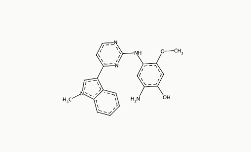 COc1cc(O)c(N)cc1Nc1nccc(-c2cn(C)c3ccccc23)n1